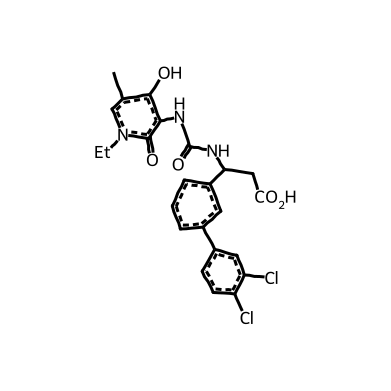 CCn1cc(C)c(O)c(NC(=O)NC(CC(=O)O)c2cccc(-c3ccc(Cl)c(Cl)c3)c2)c1=O